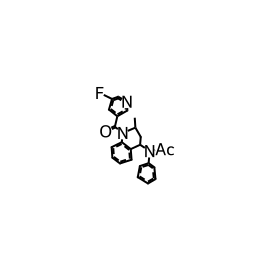 CC(=O)N(c1ccccc1)C1CC(C)N(C(=O)c2cncc(F)c2)c2ccccc21